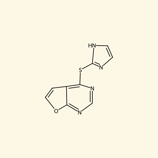 c1c[nH]c(Sc2ncnc3occc23)n1